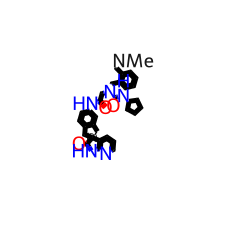 CNCc1ccccc1CN(CC(=O)Nc1ccc2c(c1)C[C@@]1(C2)C(=O)Nc2ncccc21)C(=O)NC1CCCC1